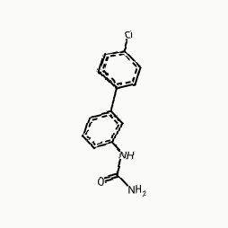 NC(=O)Nc1cccc(-c2ccc(Cl)cc2)c1